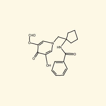 O=COc1cn(CC2(NC(=O)c3ccccc3)CCCC2)cc(O)c1=O